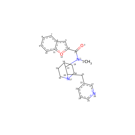 CN(C(=O)c1cc2ccccc2o1)C1C2CCN(CC2)C1Cc1cccnc1